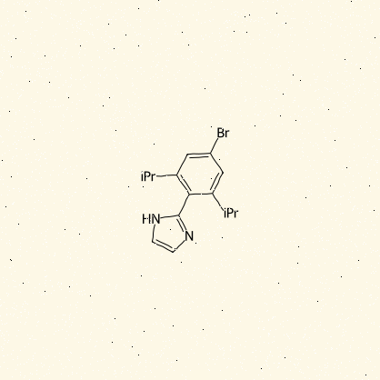 CC(C)c1cc(Br)cc(C(C)C)c1-c1ncc[nH]1